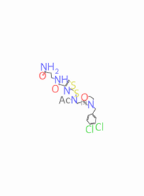 CC(=O)N(C[C@@H]1CN(Cc2ccc(Cl)c(Cl)c2)CCO1)Sc1nc(C(=O)NCCC(N)=O)cs1